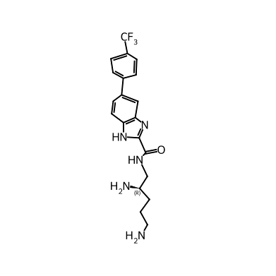 NCCC[C@@H](N)CNC(=O)c1nc2cc(-c3ccc(C(F)(F)F)cc3)ccc2[nH]1